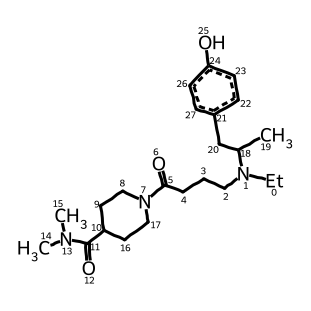 CCN(CCCC(=O)N1CCC(C(=O)N(C)C)CC1)C(C)Cc1ccc(O)cc1